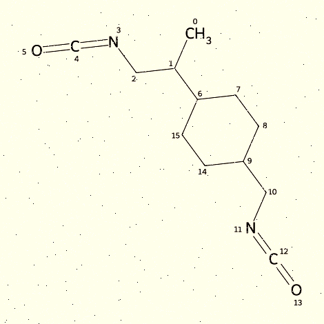 CC(CN=C=O)C1CCC(CN=C=O)CC1